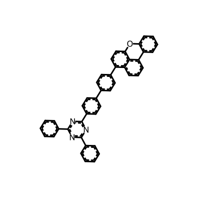 c1ccc(-c2nc(-c3ccccc3)nc(-c3ccc(-c4ccc(-c5ccc6c7c(cccc57)-c5ccccc5O6)cc4)cc3)n2)cc1